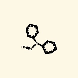 N=NN(c1ccccc1)c1ccccc1